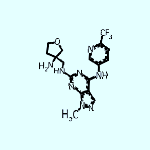 Cn1ncc2c(Nc3ccc(C(F)(F)F)nc3)nc(NCC3(N)CCOC3)nc21